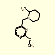 COc1nccc(CN2CCCCC2N)n1